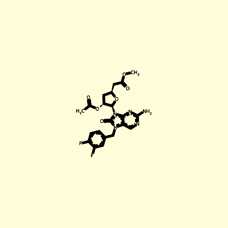 COC(=O)C[C@@H]1C[C@@H](OC(C)=O)[C@H](n2c(=O)n(Cc3ccc(F)c(F)c3)c3cnc(N)nc32)O1